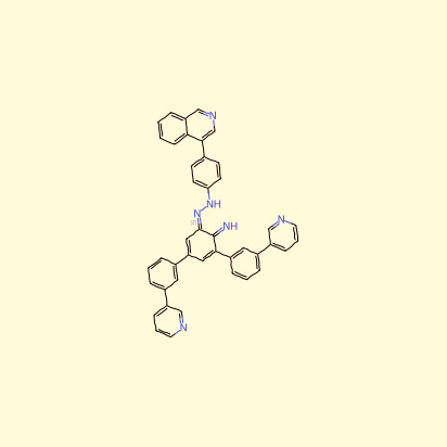 N=C1C(c2cccc(-c3cccnc3)c2)=CC(c2cccc(-c3cccnc3)c2)=C/C1=N/Nc1ccc(-c2cncc3ccccc23)cc1